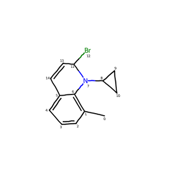 Cc1cccc2c1N(C1CC1)C(Br)C=C2